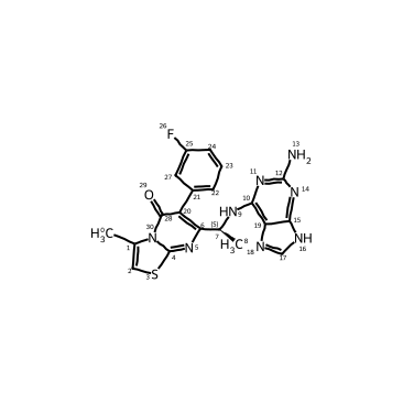 Cc1csc2nc([C@H](C)Nc3nc(N)nc4[nH]cnc34)c(-c3cccc(F)c3)c(=O)n12